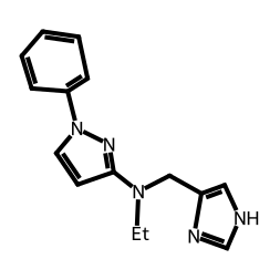 CCN(Cc1c[nH]cn1)c1ccn(-c2ccccc2)n1